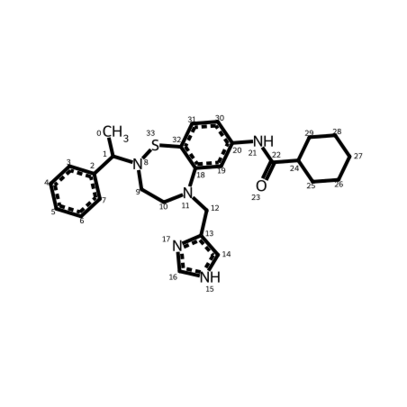 CC(c1ccccc1)N1CCN(Cc2c[nH]cn2)c2cc(NC(=O)C3CCCCC3)ccc2S1